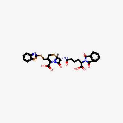 O=C(CCCC(C(=O)O)N1C(=O)c2ccccc2C1=O)N[C@@H]1C(=O)N2C(C(=O)O)=C(CSc3nc4ccccc4s3)CS[C@@H]12